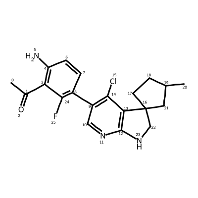 CC(=O)c1c(N)ccc(-c2cnc3c(c2Cl)C2(CCC(C)C2)CN3)c1F